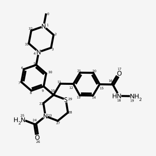 CN1CCN(c2cccc(C3(Cc4ccc(C(=O)NN)cc4)CN(C(N)=O)CCS3)c2)CC1